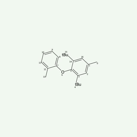 Cc1cc(C(C)(C)C)c(Oc2ccccc2C)c(C(C)(C)C)c1